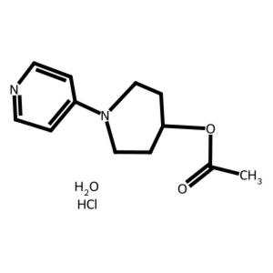 CC(=O)OC1CCN(c2ccncc2)CC1.Cl.O